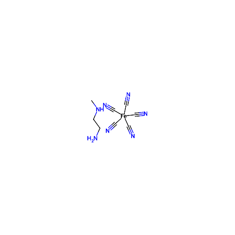 CNCCN.N#[C][Fe]([C]#N)([C]#N)([C]#N)[C]#N